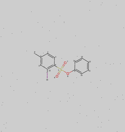 Cc1ccc(S(=O)(=O)Oc2ccccc2)c(I)c1